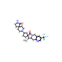 CC1C2Cc3ncc(C(F)(F)F)cc3CN2C(=O)C12CCC(N1CCC3(CCNC3=O)CC1)C2